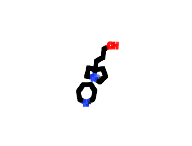 C1CCC[N]CC1.OCCCC12CCC[N+]1CC2